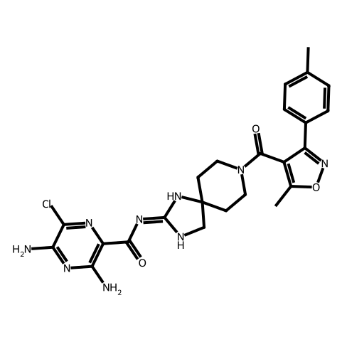 Cc1ccc(-c2noc(C)c2C(=O)N2CCC3(CC2)CN/C(=N\C(=O)c2nc(Cl)c(N)nc2N)N3)cc1